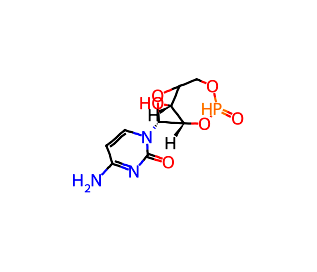 Nc1ccn([C@@H]2OC3CO[PH](=O)O[C@H]2[C@@H]3O)c(=O)n1